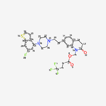 O=C(CCC(F)(F)F)OCN1C(=O)CCc2ccc(CCN3CCN(c4cc(F)cc5sccc45)CC3)cc21